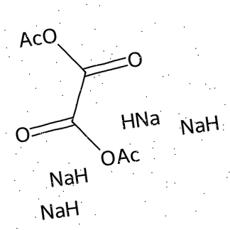 CC(=O)OC(=O)C(=O)OC(C)=O.[NaH].[NaH].[NaH].[NaH]